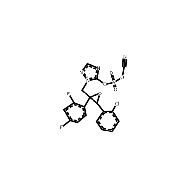 N#COS(=O)(=O)Oc1ncnn1CC1(c2ccc(F)cc2F)OC1c1ccccc1Cl